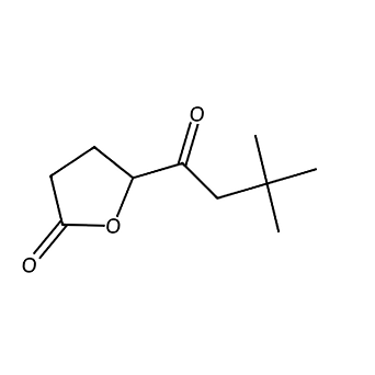 CC(C)(C)CC(=O)C1CCC(=O)O1